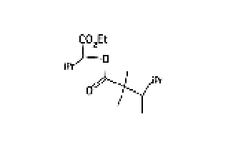 CCOC(=O)C(OC(=O)C(C)(C)C(C)C(C)C)C(C)C